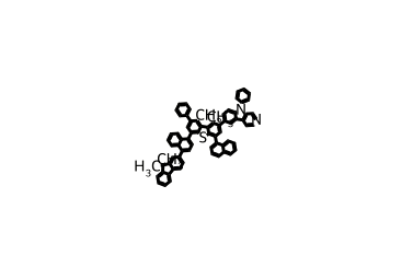 Cc1c(-c2ccc3c(c2)c2ccncc2n3-c2ccccc2)cc(-c2cccc3ccccc23)c2sc3c(-c4ccc(-c5ccc6c(c5)C(C)(C)c5ccccc5-6)c5ccccc45)cc(-c4ccccc4)c(C)c3c12